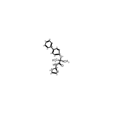 CC(C)(Oc1ccc(-c2ccccc2)cc1)C(=O)Nc1nccs1